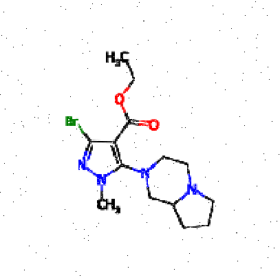 CCOC(=O)c1c(Br)nn(C)c1N1CCN2CCCC2C1